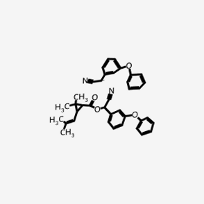 CC(C)=CC1C(C(=O)OC(C#N)c2cccc(Oc3ccccc3)c2)C1(C)C.N#C[CH]c1cccc(Oc2ccccc2)c1